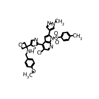 COc1ccc(CNC2(c3cnc(-c4c(Cl)cnc5c4cc(-c4cnn(C)c4)n5S(=O)(=O)c4ccc(C)cc4)s3)COC2)cc1